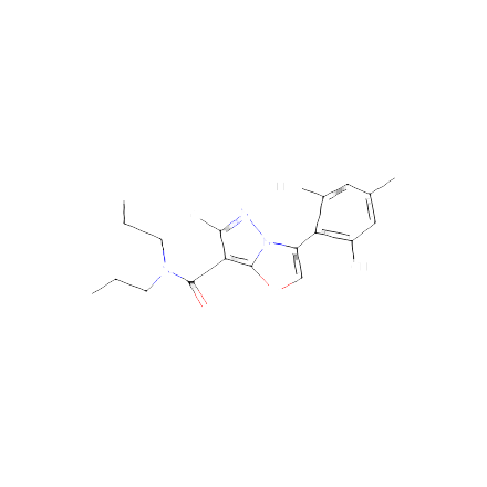 CCCN(CCC)C(=O)c1c(C)nn2c(-c3c(C)cc(C)cc3C)coc12